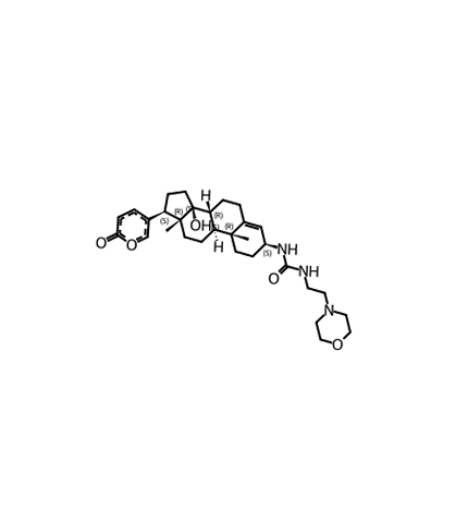 C[C@]12CC[C@H](NC(=O)NCCN3CCOCC3)C=C1CC[C@@H]1[C@@H]2CC[C@]2(C)[C@@H](c3ccc(=O)oc3)CC[C@]12O